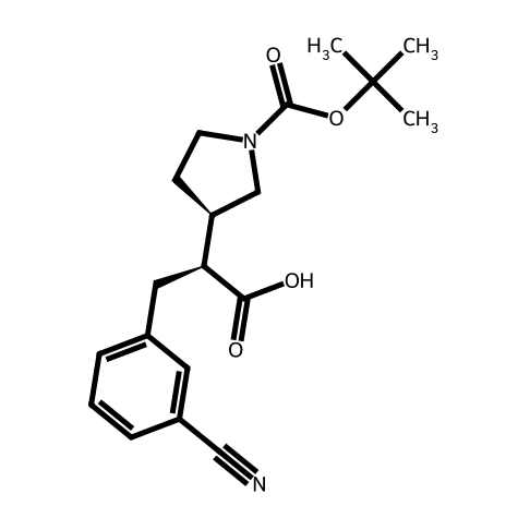 CC(C)(C)OC(=O)N1CC[C@H]([C@H](Cc2cccc(C#N)c2)C(=O)O)C1